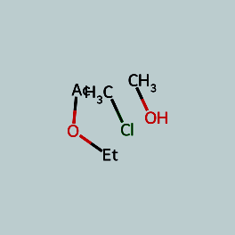 CCOC(C)=O.CCl.CO